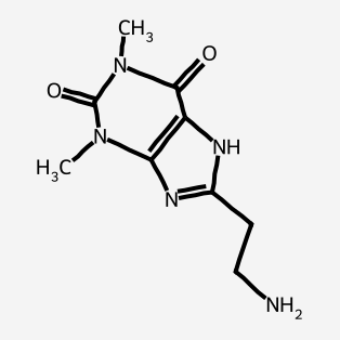 Cn1c(=O)c2[nH]c(CCN)nc2n(C)c1=O